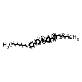 CCCCCCCCC[C@H]1CC[C@H]([C@H]2CC[C@H](C(=O)Oc3ccc(-c4ncc(CCCCCCC)cn4)cc3)CC2)CC1